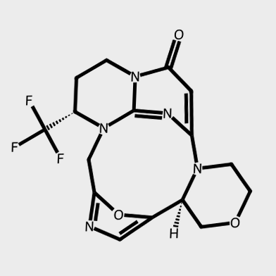 O=c1cc2nc3n1CC[C@@H](C(F)(F)F)N3Cc1ncc(o1)[C@@H]1COCCN21